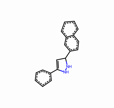 C1=C(c2ccccc2)NNC1c1ccc2ccccc2c1